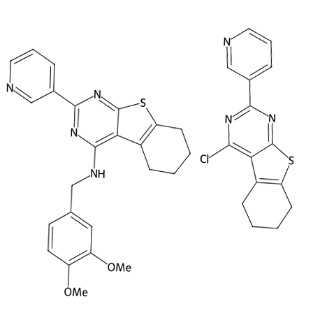 COc1ccc(CNc2nc(-c3cccnc3)nc3sc4c(c23)CCCC4)cc1OC.Clc1nc(-c2cccnc2)nc2sc3c(c12)CCCC3